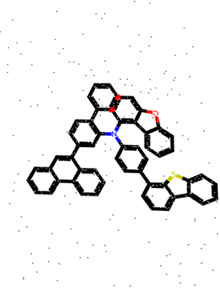 c1ccc(-c2ccc(-c3cc4ccccc4c4ccccc34)cc2N(c2ccc(-c3cccc4c3sc3ccccc34)cc2)c2cccc3oc4ccccc4c23)cc1